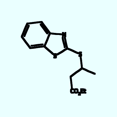 CCOC(=O)CC(C)Sc1nc2ccccc2s1